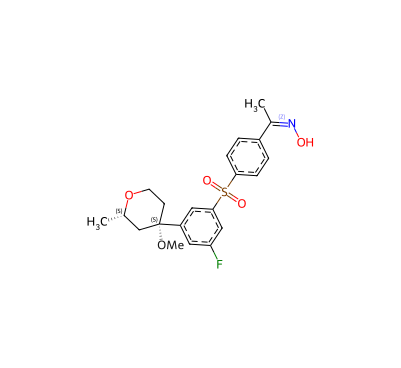 CO[C@@]1(c2cc(F)cc(S(=O)(=O)c3ccc(/C(C)=N\O)cc3)c2)CCO[C@@H](C)C1